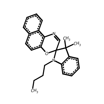 CCCCN1c2ccccc2C(C)(C)C12C=Nc1c(ccc3ccccc13)O2